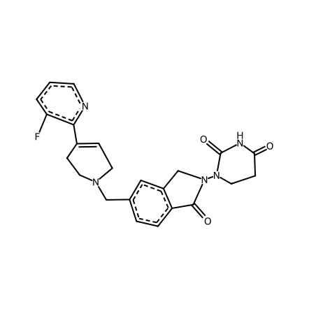 O=C1CCN(N2Cc3cc(CN4CC=C(c5ncccc5F)CC4)ccc3C2=O)C(=O)N1